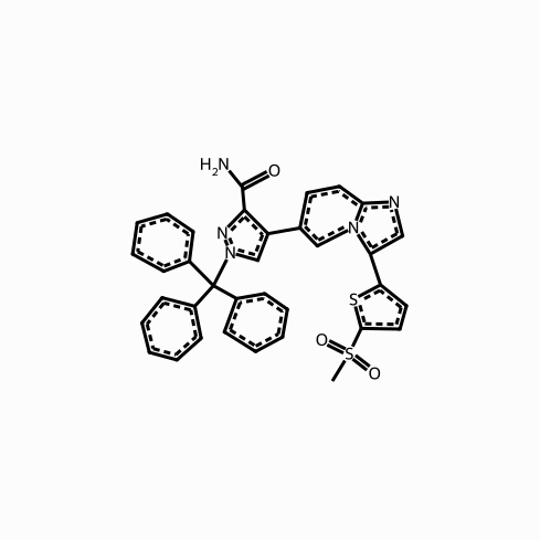 CS(=O)(=O)c1ccc(-c2cnc3ccc(-c4cn(C(c5ccccc5)(c5ccccc5)c5ccccc5)nc4C(N)=O)cn23)s1